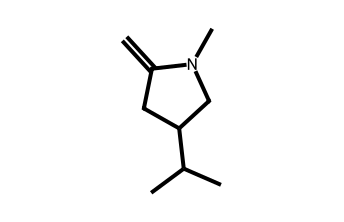 C=C1CC(C(C)C)CN1C